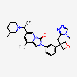 C[C@H]1CCCN(C(c2cc(C(F)(F)F)c3cn(-c4cccc(C5(Cc6nncn6C)COC5)c4)c(=O)n3c2)C(F)(F)F)C1